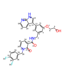 O=C(NCc1cc(OCCO)cc(-c2c[nH]c3ncccc23)c1)c1cccn(Cc2ccc(F)c(F)c2)c1=O